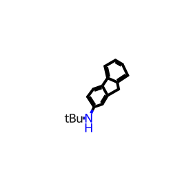 CC(C)(C)Nc1ccc2c(c1)Cc1ccccc1-2